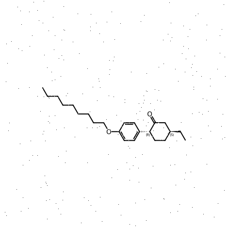 CCCCCCCCCOc1ccc([C@H]2CC[C@H](CC)CC2=O)cc1